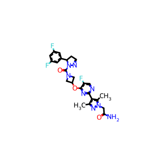 Cc1nn(CC(N)=O)c(C)c1-c1ncc(F)c(OC2CN(C(=O)N3N=CCC3c3cc(F)cc(F)c3)C2)n1